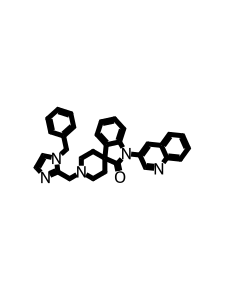 O=C1N(c2cnc3ccccc3c2)c2ccccc2C12CCN(Cc1nccn1Cc1ccccc1)CC2